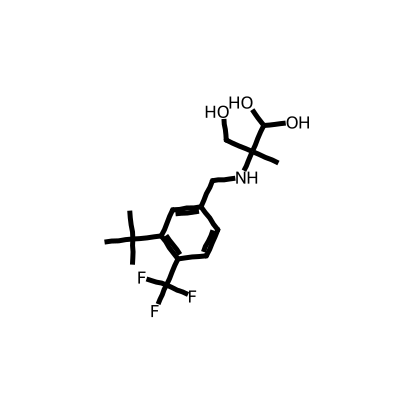 CC(C)(C)c1cc(CNC(C)(CO)C(O)O)ccc1C(F)(F)F